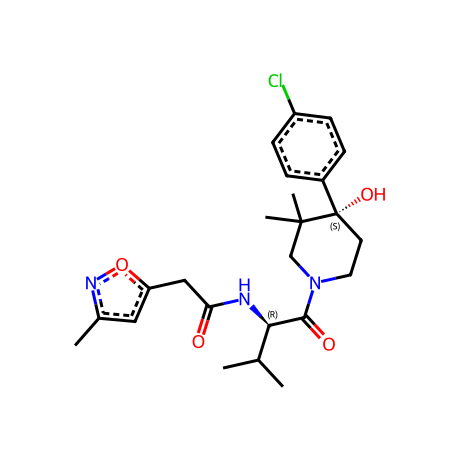 Cc1cc(CC(=O)N[C@@H](C(=O)N2CC[C@](O)(c3ccc(Cl)cc3)C(C)(C)C2)C(C)C)on1